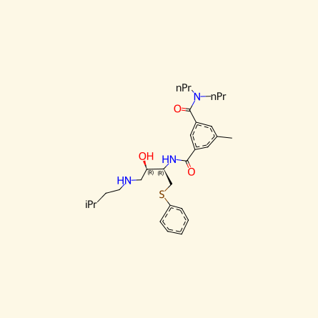 CCCN(CCC)C(=O)c1cc(C)cc(C(=O)N[C@@H](CSc2ccccc2)[C@H](O)CNCCC(C)C)c1